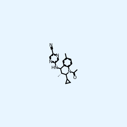 CC(=O)N1c2ccc(C)cc2C(Nc2cnc(C#N)cn2)[C@@H](C)C1C1CC1